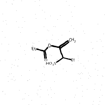 C=C(OC(=O)CC)C(CC)S(=O)(=O)O